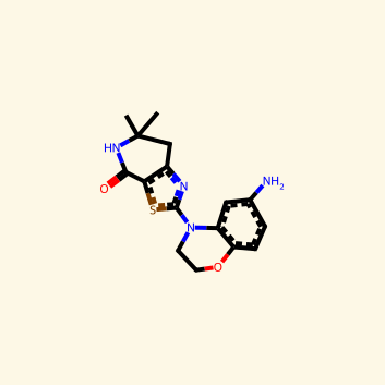 CC1(C)Cc2nc(N3CCOc4ccc(N)cc43)sc2C(=O)N1